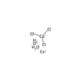 O.O.[Cl][Cu-]([Cl])[Cl].[Cs+]